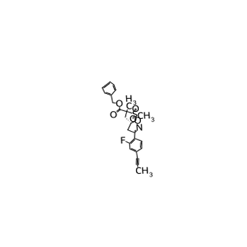 CC#Cc1ccc(C2=NO[C@@H](CC(C)(C(=O)OCc3ccccc3)S(C)(=O)=O)C2)c(F)c1